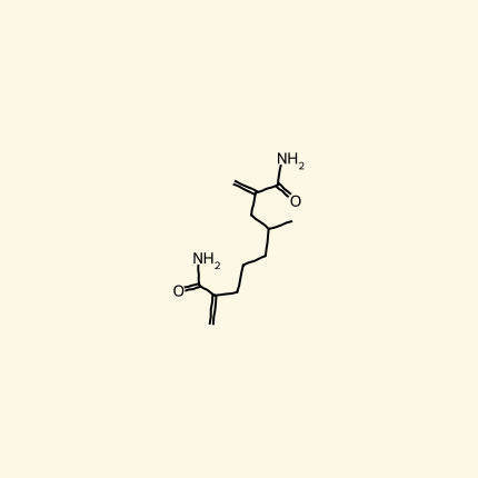 C=C(CCCC(C)CC(=C)C(N)=O)C(N)=O